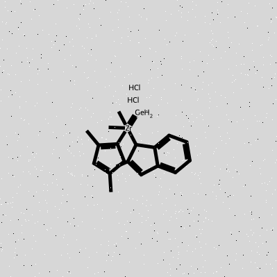 CC1=CC(C)=[C]([Zr]([CH3])([CH3])(=[GeH2])[CH]2C(C)=Cc3ccccc32)C1.Cl.Cl